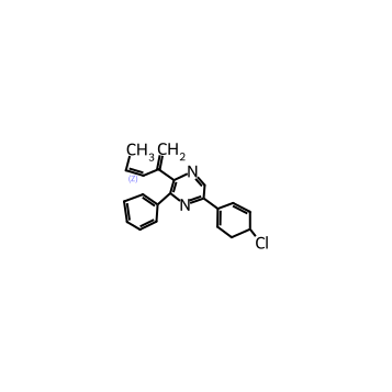 C=C(/C=C\C)c1ncc(C2=CCC(Cl)C=C2)nc1-c1ccccc1